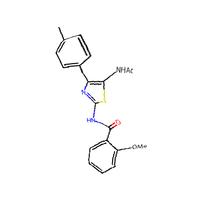 COc1ccccc1C(=O)Nc1nc(-c2ccc(C)cc2)c(NC(C)=O)s1